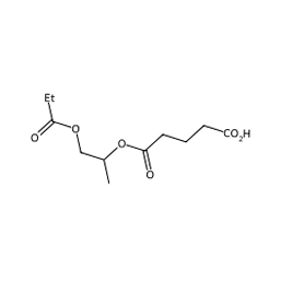 CCC(=O)OCC(C)OC(=O)CCCC(=O)O